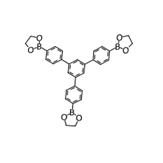 c1cc(-c2cc(-c3ccc(B4OCCO4)cc3)cc(-c3ccc(B4OCCO4)cc3)c2)ccc1B1OCCO1